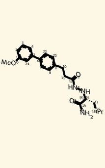 COc1cccc(-c2ccc(CCC(=O)NN[C@H](CC(C)C)C(N)=O)cc2)c1